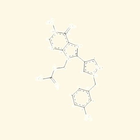 CCCC(=O)OCn1c(-c2cnn(Cc3cccc(C(F)(F)F)c3)c2)nc2c(=O)n(CCC)cnc21